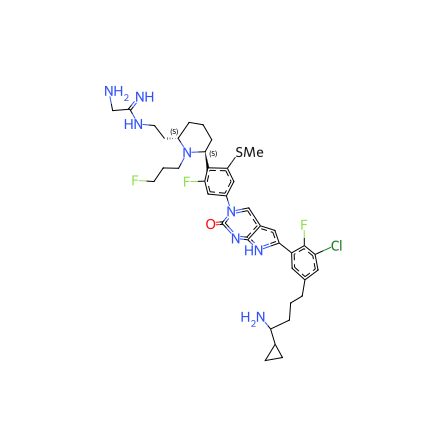 CSc1cc(-n2cc3cc(-c4cc(CCCC(N)C5CC5)cc(Cl)c4F)[nH]c3nc2=O)cc(F)c1[C@@H]1CCC[C@@H](CCNC(=N)CN)N1CCCF